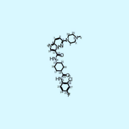 CN1CCN(c2ccc3ncc(C(=O)N[C@H]4CC[C@H](C(=O)Nc5ccc(F)cc5Cl)CC4)n3n2)CC1